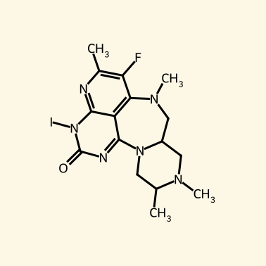 Cc1nc2c3c(nc(=O)n2I)N2CC(C)N(C)CC2CN(C)c3c1F